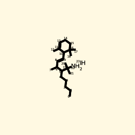 CCCCCC(C(C)C=CC1C(C)=CCCC1(C)C)C(C)(C)N.I